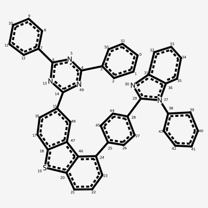 c1ccc(-c2nc(-c3ccccc3)nc(-c3ccc4sc5cccc(-c6ccc(-c7nc8ccccc8n7-c7ccccc7)cc6)c5c4c3)n2)cc1